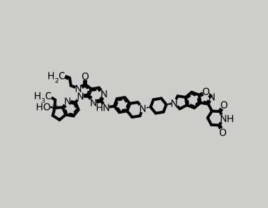 C=CCn1c(=O)c2cnc(Nc3ccc4c(c3)CCN([C@H]3CC[C@H](N5Cc6cc7onc(C8CCC(=O)NC8=O)c7cc6C5)CC3)C4)nc2n1-c1ccc2c(n1)[C@@](O)(CC)CC2